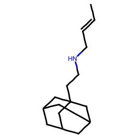 CC=CCNCCC12CC3CC(CC(C3)C1)C2